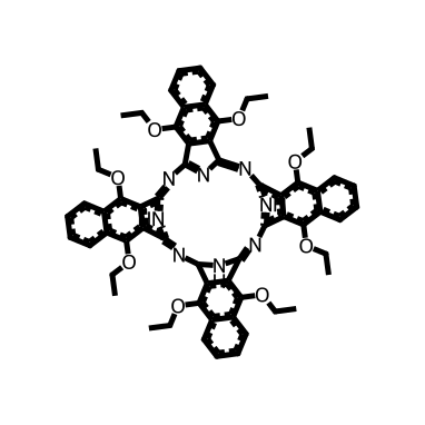 CCOc1c2c(c(OCC)c3ccccc13)/C1=N/c3[nH]c(c4c(OCC)c5ccccc5c(OCC)c34)/N=C3\NC(/N=c4\[nH]/c(c5c(OCC)c6ccccc6c(OCC)c45)=N\C2=N1)c1c3c(OCC)c2ccccc2c1OCC